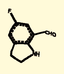 O=Cc1cc(F)cc2c1NCC2